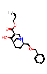 C=CCOC(=O)C1=C(O)C2CCC(COCc3ccccc3)N(C1)C2